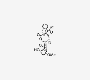 COc1ccc(O)c(C(=O)NC2COC(=O)[C@H](Cc3ccccc3)[C@@H](OC(=O)C(C)C)[C@H](C)OC2=O)n1